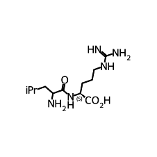 CC(C)CC(N)C(=O)N[C@@H](CCCNC(=N)N)C(=O)O